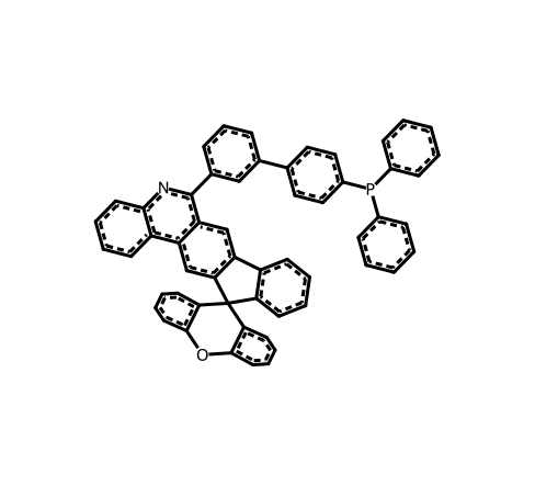 c1ccc(P(c2ccccc2)c2ccc(-c3cccc(-c4nc5ccccc5c5cc6c(cc45)-c4ccccc4C64c5ccccc5Oc5ccccc54)c3)cc2)cc1